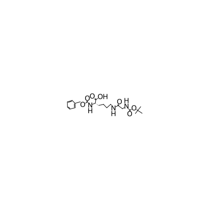 CC(C)(C)OC(=O)NCC(=O)NCCCC[C@H](NC(=O)OCc1ccccc1)C(=O)O